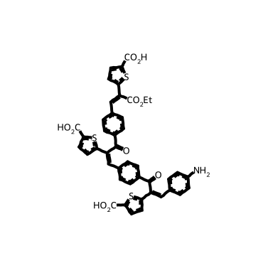 CCOC(=O)/C(=C\c1ccc(C(=O)/C(=C\c2ccc(C(=O)/C(=C\c3ccc(N)cc3)c3ccc(C(=O)O)s3)cc2)c2ccc(C(=O)O)s2)cc1)c1ccc(C(=O)O)s1